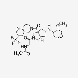 COC1COCCC1N[C@@H]1C[C@H]2CN(C(=O)CNC(C)=O)C[C@@]2(C(=O)N2CCc3ncc(C(F)(F)F)cc3C2)C1